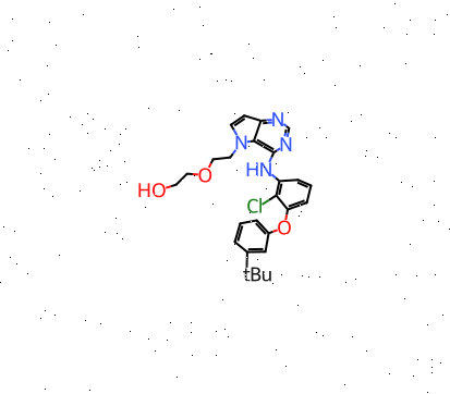 CC(C)(C)c1cccc(Oc2cccc(Nc3ncnc4ccn(CCOCCO)c34)c2Cl)c1